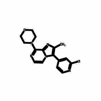 Cc1nc2c(N3CCOCC3)nccn2c1-c1ccnc(Cl)c1